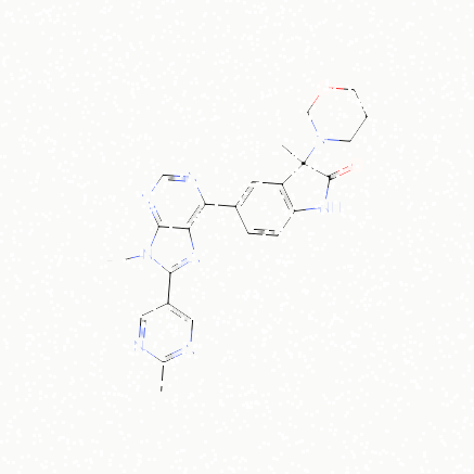 CCn1c(-c2cnc(C)nc2)nc2c(-c3ccc4c(c3)C(C)(N3CCCOC3)C(=O)N4)ncnc21